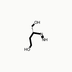 N=N[C@@H](CO)CCO